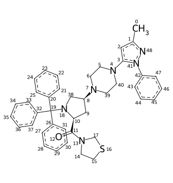 Cc1cc(N2CCN([C@H]3C[C@@H](C(=O)N4CCSC4)N(C(c4ccccc4)(c4ccccc4)c4ccccc4)C3)CC2)n(-c2ccccc2)n1